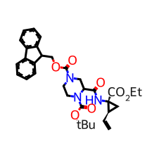 C=C[C@@H]1C[C@]1(NC(=O)C1CN(C(=O)OCC2c3ccccc3-c3ccccc32)CCN1C(=O)OC(C)(C)C)C(=O)OCC